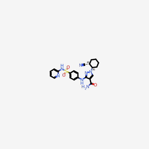 N#C[C@@H]1CCCC[C@H]1n1cc(C(N)=O)c(Nc2ccc(S(=O)(=O)Nc3ccccn3)cc2)n1